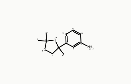 CC1(C)OCC(C)(c2cc(N)ccn2)O1